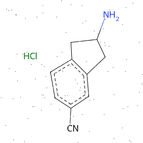 Cl.N#Cc1ccc2c(c1)CC(N)C2